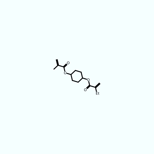 C=C(C)C(=O)OC1CCC(OC(=O)C(=C)CC)CC1